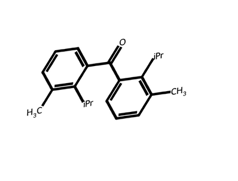 Cc1cccc(C(=O)c2cccc(C)c2C(C)C)c1C(C)C